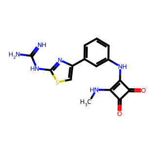 CNc1c(Nc2cccc(-c3csc(NC(=N)N)n3)c2)c(=O)c1=O